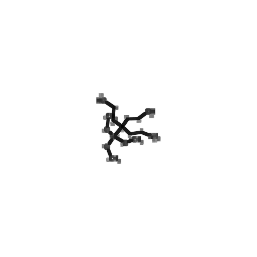 CO[Si](OC)(OC)C(CCN)(CCO)CCO